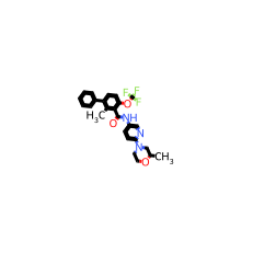 Cc1c(-c2ccccc2)ccc(OC(F)(F)F)c1C(=O)Nc1ccc(N2CCOC(C)C2)nc1